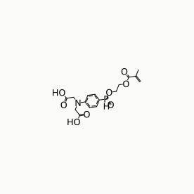 C=C(C)C(=O)OCCO[PH](=O)c1ccc(N(CC(=O)O)CC(=O)O)cc1